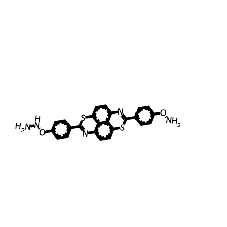 NNOc1ccc(C2=Nc3ccc4c5c(ccc(c35)S2)N=C(c2ccc(ON)cc2)S4)cc1